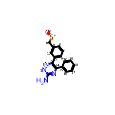 Nc1nnc(-c2cccc(C[S+]=O)c2)c(-c2ccccc2)n1